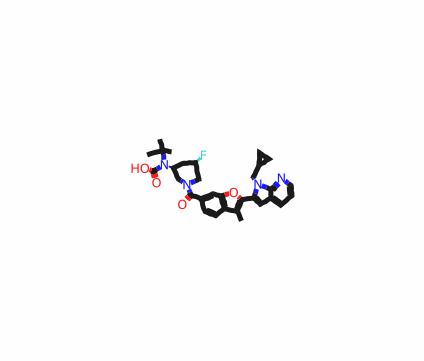 Cc1c(-c2cc3cccnc3n2CC2CC2)oc2cc(C(=O)N3C[C@H](F)C[C@@H](N(C(=O)O)C(C)(C)C)C3)ccc12